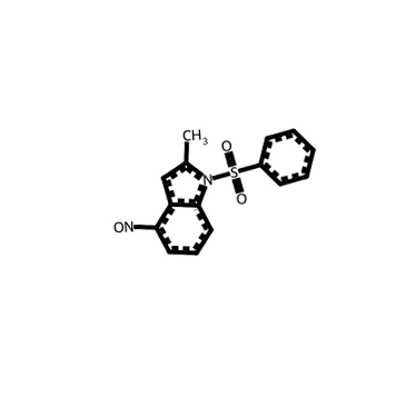 Cc1cc2c(N=O)cccc2n1S(=O)(=O)c1ccccc1